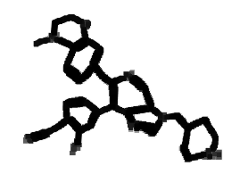 CN1CCOc2cc(-c3ncc4c(ncn4CC4CCNCC4)c3-c3ccc(C#N)c(F)c3)ccc21